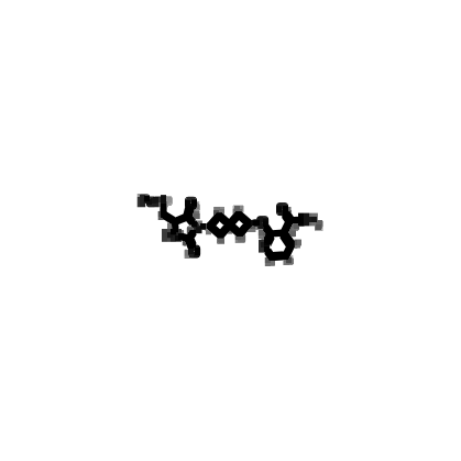 CCCC(C)CC1NC(=O)N([C@H]2CC3(C[C@H](Oc4ncccc4C(N)=O)C3)C2)C1=O